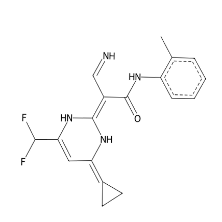 Cc1ccccc1NC(=O)/C(C=N)=C1/NC(C(F)F)=CC(=C2CC2)N1